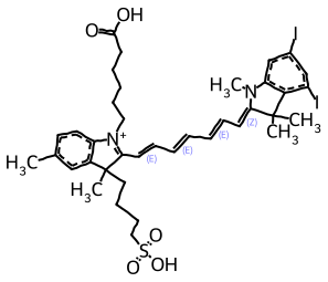 Cc1ccc2c(c1)C(C)(CCCCS(=O)(=O)O)C(/C=C/C=C/C=C/C=C1\N(C)c3cc(I)cc(I)c3C1(C)C)=[N+]2CCCCCC(=O)O